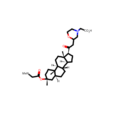 CNCC(=O)O[C@]1(C)CC[C@@]2(C)[C@@H](CC[C@@H]3[C@@H]2CC[C@]2(C)[C@@H](C(=O)CC4CN(CC(=O)O)CCO4)CC[C@@H]32)C1